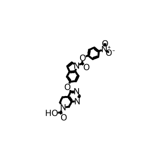 O=C(O)N1CCc2c(ncnc2Oc2ccc3c(ccn3C(=O)Oc3ccc([N+](=O)[O-])cc3)c2)C1